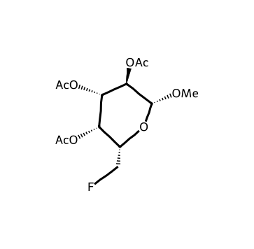 CO[C@@H]1O[C@H](CF)[C@H](OC(C)=O)[C@H](OC(C)=O)[C@H]1OC(C)=O